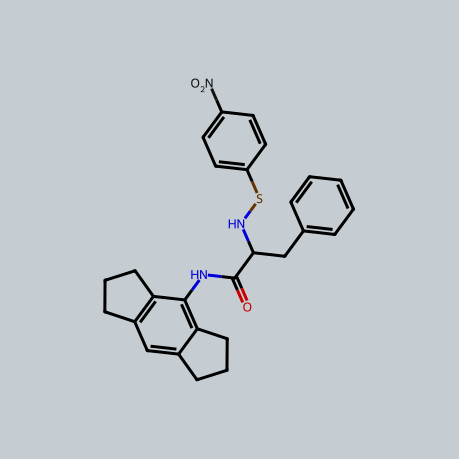 O=C(Nc1c2c(cc3c1CCC3)CCC2)C(Cc1ccccc1)NSc1ccc([N+](=O)[O-])cc1